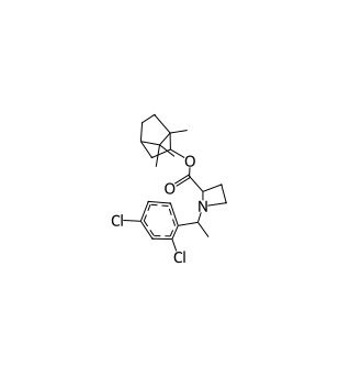 CC(c1ccc(Cl)cc1Cl)N1CCC1C(=O)OC1CC2CCC1(C)C2(C)C